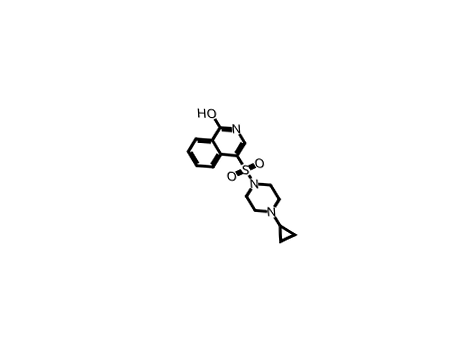 O=S(=O)(c1cnc(O)c2ccccc12)N1CCN(C2CC2)CC1